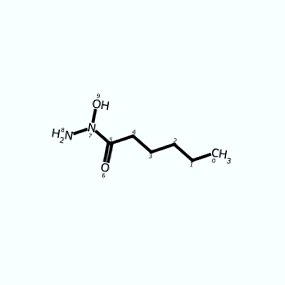 CCCCCC(=O)N(N)O